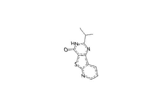 CC(C)c1nc2c(sc3ncccc32)c(=O)[nH]1